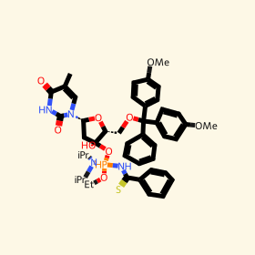 CCO[PH](NC(=S)c1ccccc1)(O[C@@]1(O)C[C@H](n2cc(C)c(=O)[nH]c2=O)O[C@@H]1COC(c1ccccc1)(c1ccc(OC)cc1)c1ccc(OC)cc1)N(C(C)C)C(C)C